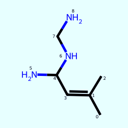 CC(C)=CC(N)NCN